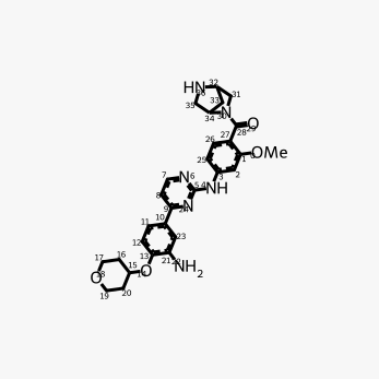 COc1cc(Nc2nccc(-c3ccc(OC4CCOCC4)c(N)c3)n2)ccc1C(=O)N1CC2CC1CN2